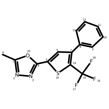 Cc1nnc(-c2cc(-c3ccccc3)c(C(F)(F)F)s2)o1